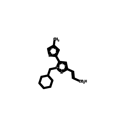 Cc1csc(-c2cc(C=CC(=O)O)nn2CC2CCCCC2)c1